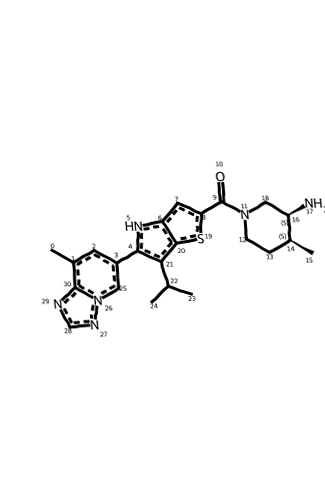 Cc1cc(-c2[nH]c3cc(C(=O)N4CC[C@H](C)[C@H](N)C4)sc3c2C(C)C)cn2ncnc12